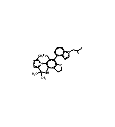 Cc1nnc2n1-c1c(c3c(c(-c4cccc5c4ccn5CC(F)F)c1C(F)(F)F)OCC3)NC2(C)C